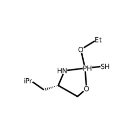 CCO[PH]1(S)N[C@@H](CC(C)C)CO1